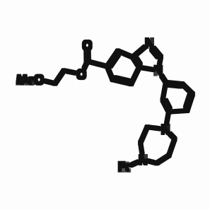 CCN1CCCN(c2cccc(-n3cnc4cc(C(=O)OCCOC)ccc43)c2)CC1